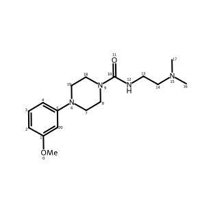 COc1cccc(N2CCN(C(=O)NCCN(C)C)CC2)c1